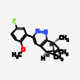 COc1ccc(F)cc1-c1cc2c(nn1)[C@@]1(C)CC[C@@H]2C1(C)C